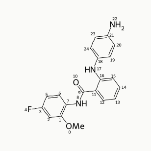 COc1cc(F)ccc1NC(=O)c1ccccc1Nc1ccc(N)cc1